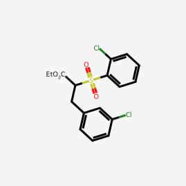 CCOC(=O)C(Cc1cccc(Cl)c1)S(=O)(=O)c1ccccc1Cl